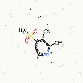 Cc1nccc(S(C)(=O)=O)c1C#N